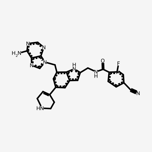 N#Cc1ccc(C(=O)NCc2cc3cc(C4=CCNCC4)cc(Cn4cnc5c(N)ncnc54)c3[nH]2)c(F)c1